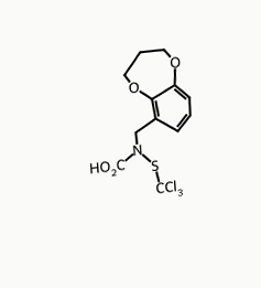 O=C(O)N(Cc1cccc2c1OCCCO2)SC(Cl)(Cl)Cl